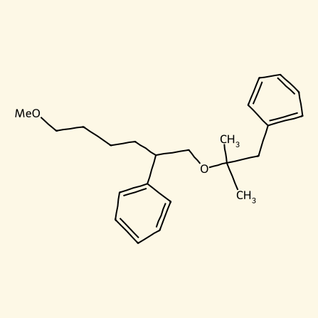 COCCCCC(COC(C)(C)Cc1ccccc1)c1ccccc1